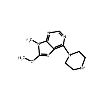 COc1nc2c(N3CCNCC3)ncnc2n1C